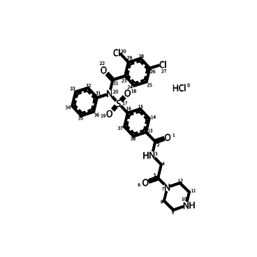 Cl.O=C(NCC(=O)N1CCNCC1)c1ccc(S(=O)(=O)N(C(=O)c2ccc(Cl)cc2Cl)c2ccccc2)cc1